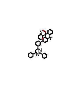 CC1(C)c2ccccc2C2(c3ccccc3Sc3ccccc32)c2cc(-c3cccc(-c4cc(-c5ccccc5)nc(-c5ccccc5)n4)c3)ccc21